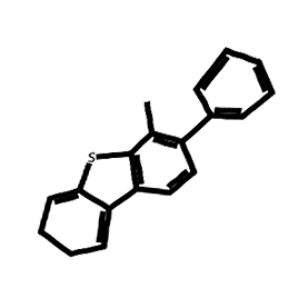 Cc1c(-c2ccccc2)ccc2c3c(sc12)=CCCC=3